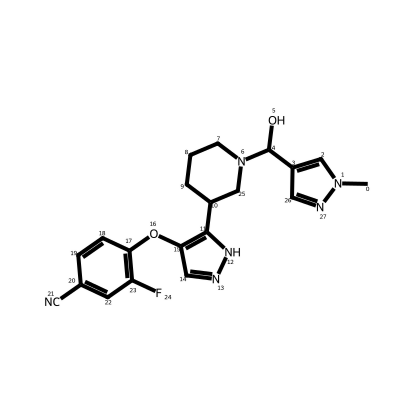 Cn1cc(C(O)N2CCCC(c3[nH]ncc3Oc3ccc(C#N)cc3F)C2)cn1